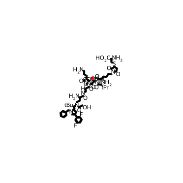 CC(C)[C@H](N)C(=O)N(C(=O)CCCCCN1C(=O)CC(SC[C@H](N)C(=O)O)C1=O)[C@@H](C)C(=O)[N+](OC(=O)C(F)(F)F)(C(=O)CCNC(=O)[C@@H](N)CCN(C(=O)CO)[C@@H](c1cc(-c2cc(F)ccc2F)cn1Cc1ccccc1)C(C)(C)C)[C@@H](CCCCN)C(=O)O